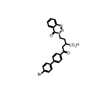 O=C(CC(CCn1nnc2ccccc2c1=O)C(=O)O)c1ccc(-c2ccc(Br)cc2)cc1